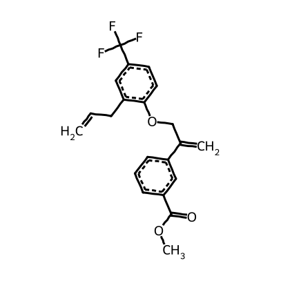 C=CCc1cc(C(F)(F)F)ccc1OCC(=C)c1cccc(C(=O)OC)c1